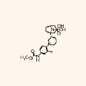 COC(=O)Nc1ccc(N2CCCC(C34CCC(CC(O)C3)N4C(=O)O)C2)c(F)c1